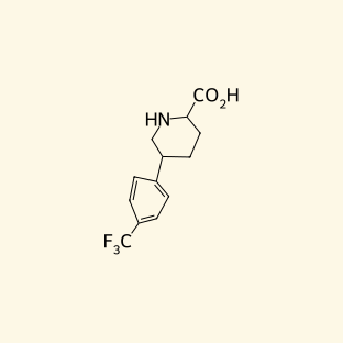 O=C(O)C1CCC(c2ccc(C(F)(F)F)cc2)CN1